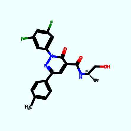 Cc1ccc(-c2cc(C(=O)N[C@H](CO)C(C)C)c(=O)n(-c3cc(F)cc(F)c3)n2)cc1